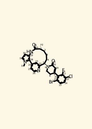 C[C@@H]1CCC[C@H](N2CCC(c3c(Br)ccc(Cl)c3F)=CC2=O)c2cc(ccn2)-c2c(ccn2C)NC1=O